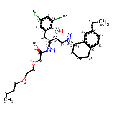 CCCCOCCOCC(=O)N[C@@H](Cc1cc(F)cc(F)c1)[C@H](O)CN[C@H]1CCCc2ccc(CC)cc21